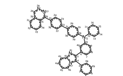 c1ccc(-c2c(-c3cccc(N(c4ccccc4)c4ccc(-c5ccc(-c6nncc7ccccc67)cc5)cc4)c3)nc3ccccn23)cc1